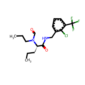 CCC[C@@H](C(=O)NCc1cccc(C(F)(F)F)c1Cl)N(C=O)CCC